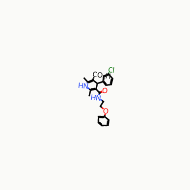 CC1=C(C(=O)O)C(c2cccc(Cl)c2)C(C(=O)NCCOc2ccccc2)=C(C)N1